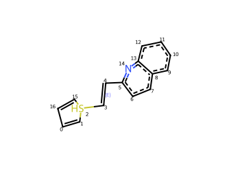 C1=C[SH](/C=C/c2ccc3ccccc3n2)C=C1